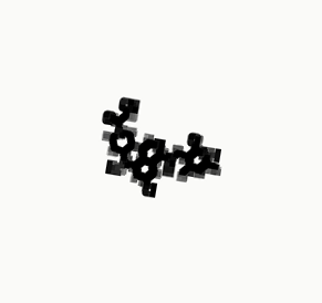 CCN(c1cc(Cl)cc2c(NCc3c(C)cc(C)[nH]c3=O)nccc12)C1CCN(C(=O)CC#N)CC1